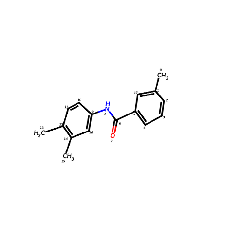 Cc1cccc(C(=O)Nc2ccc(C)c(C)c2)c1